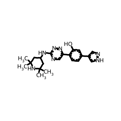 CC1(C)CC(Nc2ncc(-c3ccc(-c4cn[nH]c4)cc3O)nn2)CC(C)(C)N1